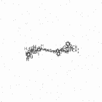 CN[C@@H](C)C(=O)NC(C(=O)N1CCC[C@H]1c1nc(-c2ccc(OCCOCCOCCNc3ccc(C(=O)N[C@H]4C(C)(C)[C@H](Oc5ccc(C#N)c(Cl)c5)C4(C)C)cc3)c3ccccc23)cs1)C1CCCCC1